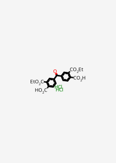 CCOC(=O)c1cc(C(=O)c2ccc(C(=O)O)c(C(=O)OCC)c2)ccc1C(=O)O.Cl.Cl